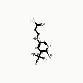 O=C(O)CCNc1cnc(O)c(C(F)(F)F)c1